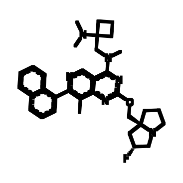 Cc1c(-c2cccc3ccccc23)ncc2c(N(C)CC3(N(C)C)CCC3)nc(OC[C@@]34CCCN3C[C@H](F)C4)nc12